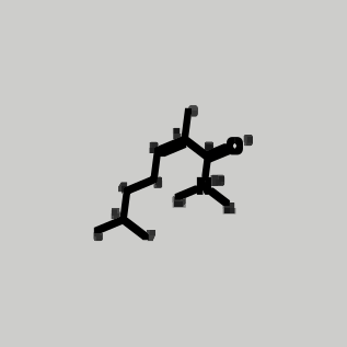 CC(=CCCC(C)C)C(=O)N(C)C